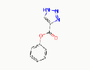 O=C(Oc1ccccc1)c1c[nH]nn1